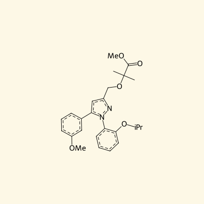 COC(=O)C(C)(C)OCc1cc(-c2cccc(OC)c2)n(-c2ccccc2OC(C)C)n1